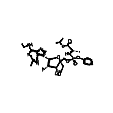 CCNc1nc(C)nc2c1ncn2[C@@H]1O[C@](CCl)(CO[P@](=O)(N[C@@H](C)C(=O)OC(C)C)Oc2ccccc2)[C@@H](O)[C@@H]1F